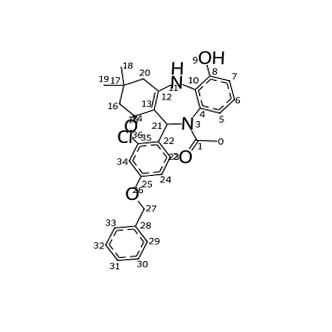 CC(=O)N1c2cccc(O)c2NC2=C(C(=O)CC(C)(C)C2)C1c1ccc(OCc2ccccc2)cc1Cl